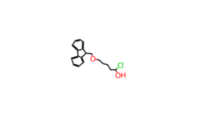 OC(Cl)CCCCOCC1c2ccccc2-c2ccccc21